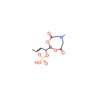 C/C=C/C(OS(=O)(=O)O)B1OC(=O)CN(C)CC(=O)O1